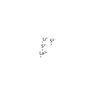 [La+3].[Li+].[S-2].[S-2]